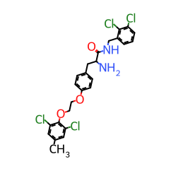 Cc1cc(Cl)c(OCCOc2ccc(CC(N)C(=O)NCc3cccc(Cl)c3Cl)cc2)c(Cl)c1